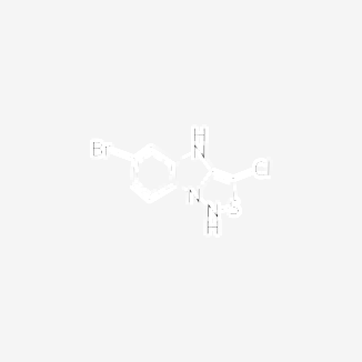 ClC1=C2Nc3cc(Br)ccc3N2NS1